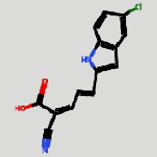 N#CC(=CC=Cc1cc2cc(Cl)ccc2[nH]1)C(=O)O